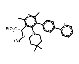 CCOC(=O)[C@@H](OC(C)(C)C)c1c(C)nc(C)c(-c2ccc(-c3ccccn3)cc2)c1N1CCC(C)(C)CC1